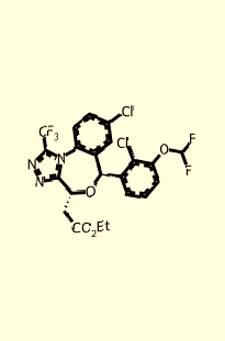 CCOC(=O)C[C@H]1O[C@H](c2cccc(OC(F)F)c2Cl)c2cc(Cl)ccc2-n2c1nnc2C(F)(F)F